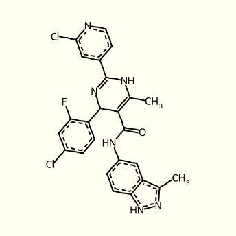 CC1=C(C(=O)Nc2ccc3[nH]nc(C)c3c2)C(c2ccc(Cl)cc2F)N=C(c2ccnc(Cl)c2)N1